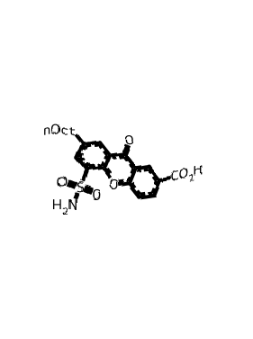 CCCCCCCCc1cc(S(N)(=O)=O)c2oc3ccc(C(=O)O)cc3c(=O)c2c1